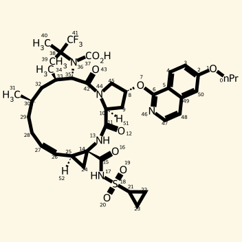 CCCOc1ccc2c(O[C@@H]3C[C@H]4C(=O)N[C@]5(C(=O)NS(=O)(=O)C6CC6)C[C@H]5/C=C\CC[C@@H](C)C[C@@H](C)[C@H](N(C(=O)O)C(C)(C)C(F)(F)F)C(=O)N4C3)nccc2c1